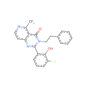 O=c1c2c(C(F)(F)F)nccc2nc(-c2cccc(F)c2O)n1CCc1ccccc1